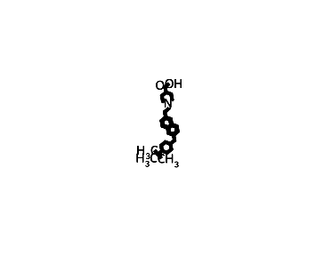 CC(C)(C)C1CCC(Cc2ccc3cc(CCN4CCC(C(=O)O)CC4)ccc3c2)CC1